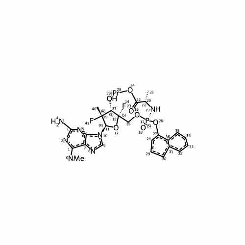 CNc1nc(N)nc2c1ncn2[C@@H]1O[C@](F)(CO[P@@](=O)(N[C@@H](C)C(=O)OC(C)C)Oc2cccc3ccccc23)[C@@H](O)[C@@]1(C)F